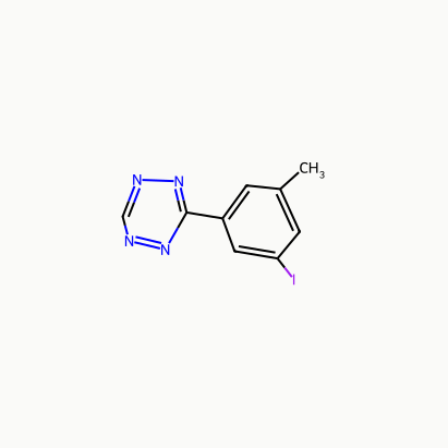 Cc1cc(I)cc(-c2nncnn2)c1